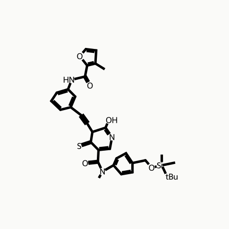 Cc1ccoc1C(=O)Nc1cccc(C#CC2C(=S)C(C(=O)N(C)c3ccc(CO[Si](C)(C)C(C)(C)C)cc3)=CN=C2O)c1